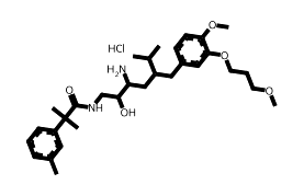 COCCCOc1cc(CC(CC(N)C(O)CNC(=O)C(C)(C)c2cccc(C)c2)C(C)C)ccc1OC.Cl